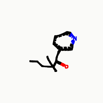 CCCC(C)(C)C(=O)c1cccnc1